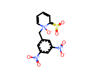 O=[N+]([O-])c1cc(C[N+]2([O-])C=CC=CC2=S(=O)=O)cc([N+](=O)[O-])c1